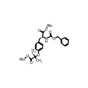 CC(C)(C)OC(=O)[C@H](Cc1ccc(OC(C)(C)C(=O)OC(C)(C)C)cc1)NC(=O)OCc1ccccc1